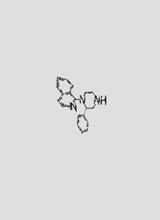 c1ccc(C2CNCCN2c2nccc3ccccc23)cc1